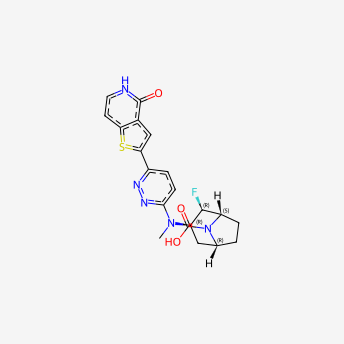 CN(c1ccc(-c2cc3c(=O)[nH]ccc3s2)nn1)[C@@H]1C[C@H]2CC[C@@H]([C@@H]1F)N2C(=O)O